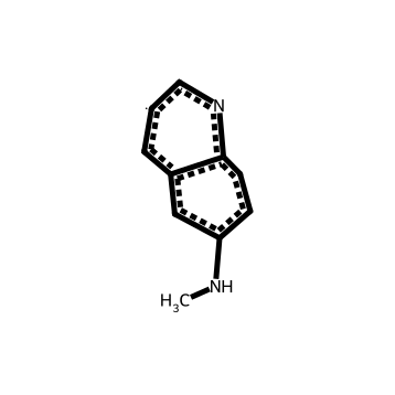 CNc1ccc2nc[c]cc2c1